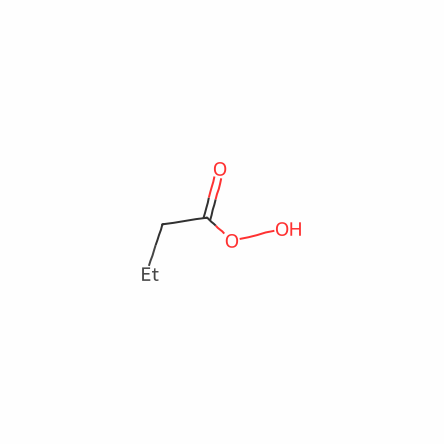 CCCC(=O)OO